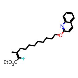 CCOC(=O)C(F)=C(C)CCCCCCCCCOc1ccc2ccccc2n1